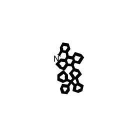 N#Cc1ccccc1-c1c2ccccc2c(-c2ccc3c(c2)C(c2ccccc2)(c2ccccc2)c2ccccc2-3)c2ccccc12